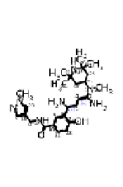 CN(/C(N)=C/C=C(\N)c1cc(C(=O)NCc2cnn(C)c2)ccc1O)C1CC(C)(C)NC(C)(C)C1